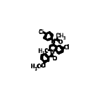 COc1cccc(C(=O)N2c3ccc(Cl)cc3C(N(C(C)=O)c3ccc(Cl)cc3)CC2C)c1